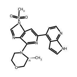 C[C@@H]1COCCN1c1nc(-c2ccnc3[nH]ccc23)cc2c1ncn2S(C)(=O)=O